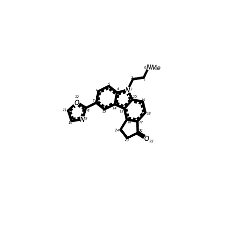 CNCCn1c2ccc(-c3ncco3)cc2c2c3c(ccc21)C(=O)CC3